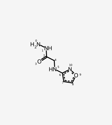 NNC(=O)CNc1ccon1